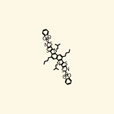 CCCCc1cc2c(cc(CCCC)c3c4sc5nc(B6Oc7ccccc7O6)sc5c4n(CC(C)C)c23)c2c1c1sc3nc(B4Oc5ccccc5O4)sc3c1n2CC(C)C